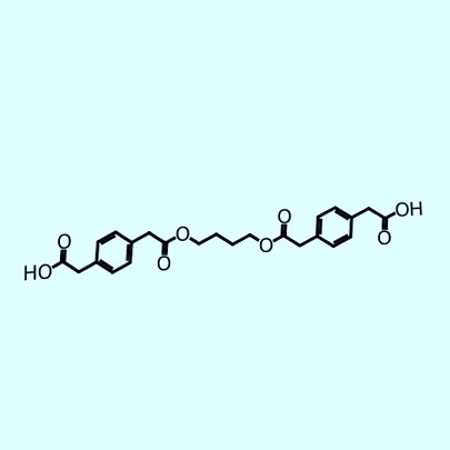 O=C(O)Cc1ccc(CC(=O)OCCCCOC(=O)Cc2ccc(CC(=O)O)cc2)cc1